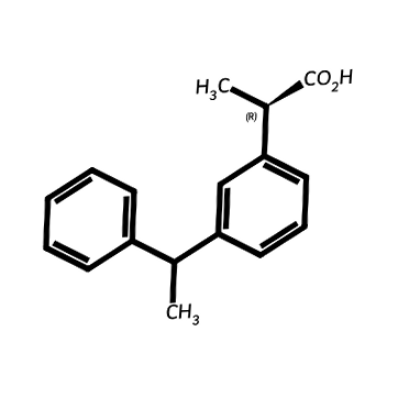 CC(c1ccccc1)c1cccc([C@@H](C)C(=O)O)c1